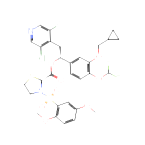 COc1ccc(OC)c(S(=O)(=O)N2CCS[C@H]2C(=O)O[C@@H](Cc2c(Cl)cncc2Cl)c2ccc(OC(F)F)c(OCC3CC3)c2)c1